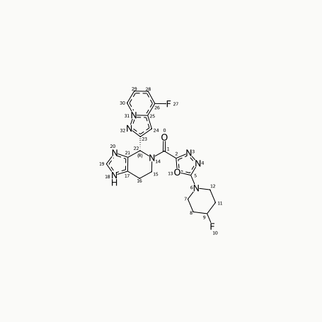 O=C(c1nnc(N2CCC(F)CC2)o1)N1CCc2[nH]cnc2[C@@H]1c1cc2c(F)cccn2n1